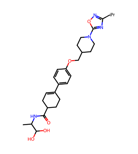 CC(C)c1noc(N2CCC(COc3ccc(C4=CCC(C(=O)NC(C)C(O)O)CC4)cc3)CC2)n1